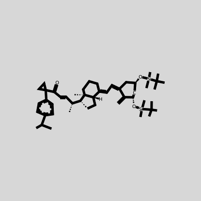 C=C1/C(=C\C=C2/CCC[C@]3(C)[C@@H]([C@H](C)/C=C/C(=O)C4(c5ccc(C(C)C)cc5)CC4)CC[C@@H]23)C[C@@H](O[Si](C)(C)C(C)(C)C)C[C@@H]1O[Si](C)(C)C(C)(C)C